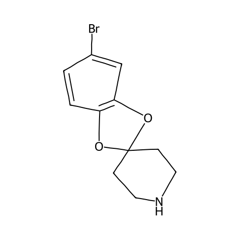 Brc1ccc2c(c1)OC1(CCNCC1)O2